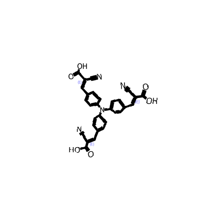 N#C/C(=C\c1ccc(N(c2ccc(/C=C(\C#N)C(=O)O)cc2)c2ccc(/C=C(\C#N)C(=O)O)cc2)cc1)C(=O)O